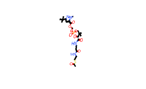 CC(=O)SCCNC(=O)CCNC(=O)[C@@H]1O[P@@](=O)(OCOC(=O)c2cc(C(C)(C)C)nn2C)OCC1(C)C